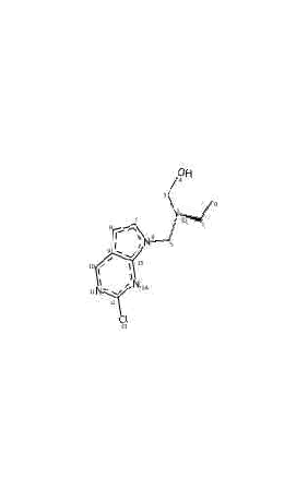 CC[C@H](CO)Cn1ccc2cnc(Cl)nc21